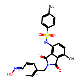 C\C=C(/C=C\C=N\O)CN1C(=O)c2c(C#N)ccc(NS(=O)(=O)c3ccc(C(C)(C)C)cc3)c2C1=O